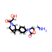 NC[C@H]1CN(c2ccc(C34CC3CN(C(=O)CO)C4)cc2)C(=O)O1